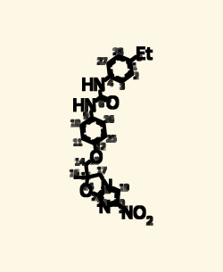 CCc1ccc(NC(=O)Nc2ccc(OCC3(C)Cn4cc([N+](=O)[O-])nc4O3)cc2)cc1